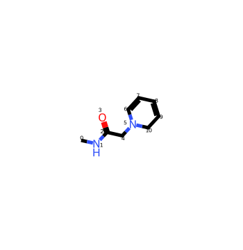 CNC(=O)CN1C=CC=CC1